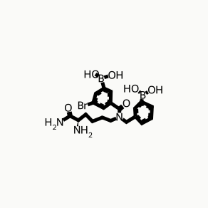 NC(=O)[C@@H](N)CCCCN(Cc1cccc(B(O)O)c1)C(=O)c1cc(Br)cc(B(O)O)c1